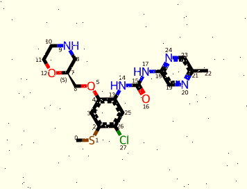 CSc1cc(OC[C@@H]2CNCCO2)c(NC(=O)Nc2cnc(C)cn2)cc1Cl